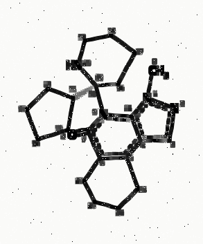 Cn1ncc2c3c(c(=O)n([C@]4(C5CCCC5)CCCCN4)c21)CCCC3